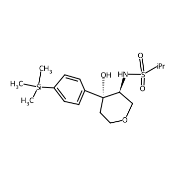 CC(C)S(=O)(=O)N[C@H]1COCC[C@@]1(O)c1ccc([Si](C)(C)C)cc1